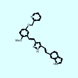 COc1ccc(OCc2ccccn2)cc1/C=C/c1cc(/C=C/c2ccc3cc[nH]c3c2)[nH]n1